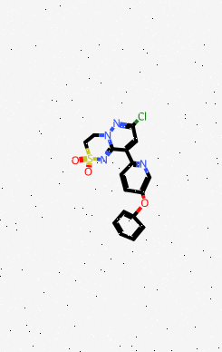 O=S1(=O)CCN2N=C(Cl)C=C(c3ccc(Oc4ccccc4)cn3)C2=N1